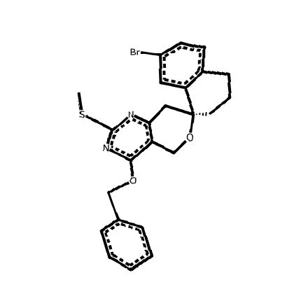 CSc1nc2c(c(OCc3ccccc3)n1)CO[C@@]1(CCCc3ccc(Br)cc31)C2